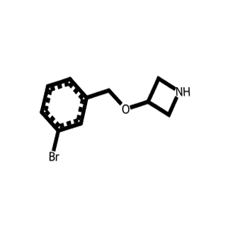 Brc1cccc(COC2CNC2)c1